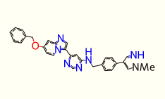 CN/C=C(\C=N)c1ccc(CNc2cc(-c3cnc4cc(OCc5ccccc5)ccn34)ncn2)cc1